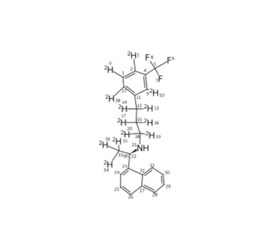 [2H]c1c([2H])c(C(F)(F)F)c([2H])c(C([2H])([2H])C([2H])([2H])C([2H])([2H])N[C@@H](c2cccc3ccccc23)C([2H])([2H])[2H])c1[2H]